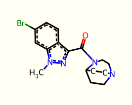 Cn1nc(C(=O)N2CCN3CCC2CC3)c2ccc(Br)cc21